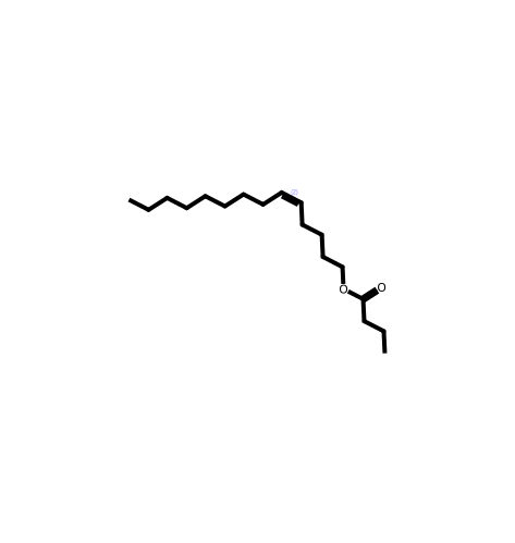 CCCCCCCC/C=C\CCCCOC(=O)CCC